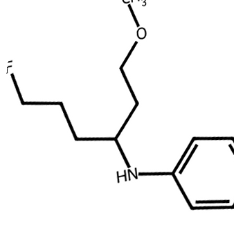 COCCC(CCCF)Nc1ccccc1